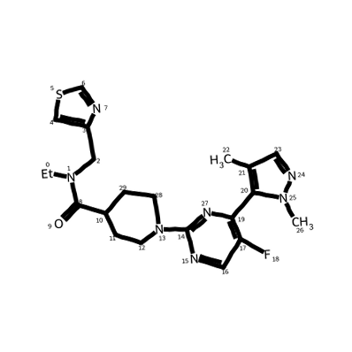 CCN(Cc1cscn1)C(=O)C1CCN(c2ncc(F)c(-c3c(C)cnn3C)n2)CC1